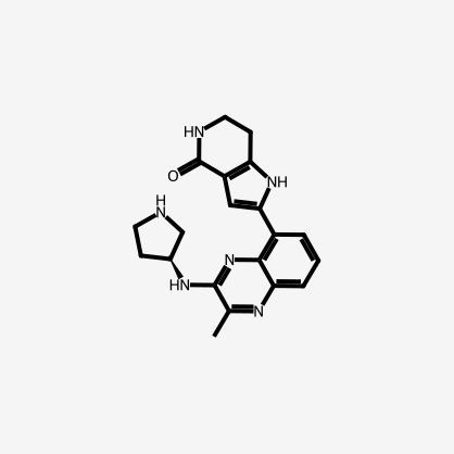 Cc1nc2cccc(-c3cc4c([nH]3)CCNC4=O)c2nc1N[C@H]1CCNC1